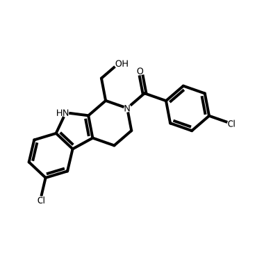 O=C(c1ccc(Cl)cc1)N1CCc2c([nH]c3ccc(Cl)cc23)C1CO